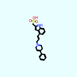 O=S(=O)(O)Cc1cc2c(C=CCN3CC=C(c4ccccc4)CC3)cccc2[nH]1